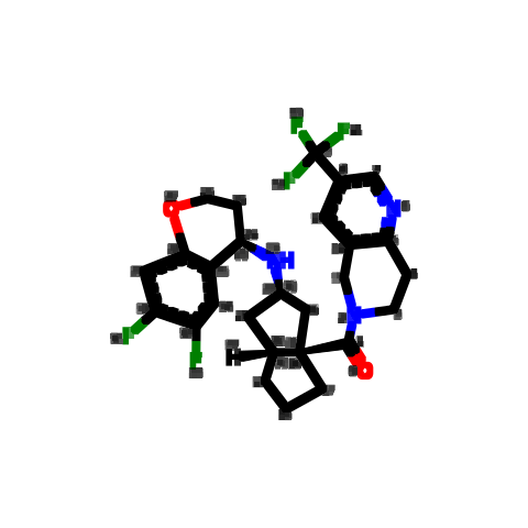 O=C(N1CCc2ncc(C(F)(F)F)cc2C1)[C@@]12CCC[C@@H]1C[C@@H](N[C@@H]1CCOc3cc(F)c(F)cc31)C2